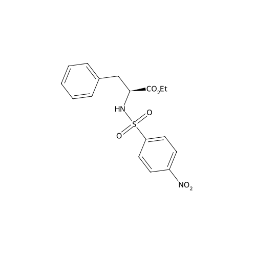 CCOC(=O)[C@H](Cc1ccccc1)NS(=O)(=O)c1ccc([N+](=O)[O-])cc1